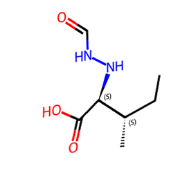 CC[C@H](C)[C@H](NNC=O)C(=O)O